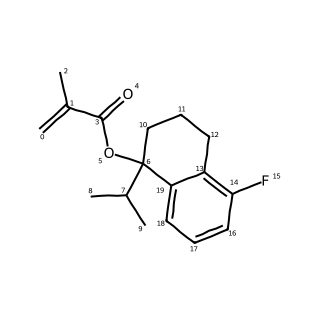 C=C(C)C(=O)OC1(C(C)C)CCCc2c(F)cccc21